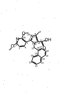 COc1ccc(-c2nc(C)c(C(=O)O)n2Cc2cccc3ccccc23)c(OC)n1